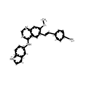 COc1cc2ncnc(Nc3ccc4[nH]ccc4c3)c2cc1/C=C/c1ccc(N)cc1